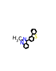 Cc1nc(-c2ccc3sc4ccc#cc4c3c2)c2ccccc2n1